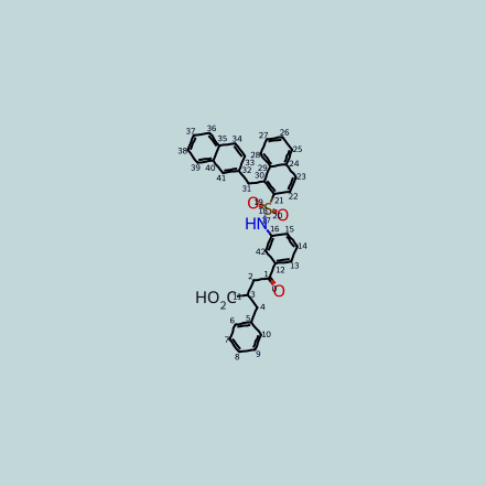 O=C(CC(Cc1ccccc1)C(=O)O)c1cccc(NS(=O)(=O)c2ccc3ccccc3c2Cc2ccc3ccccc3c2)c1